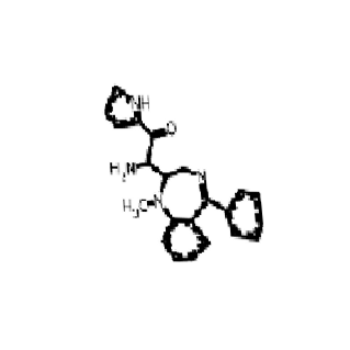 CN1c2ccccc2C(c2ccccc2)=NCC1C(N)C(=O)c1ccc[nH]1